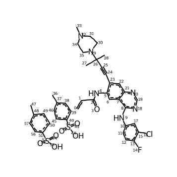 C=CC(=O)Nc1cc2c(Nc3ccc(F)c(Cl)c3)ncnc2cc1C#CC(C)(C)N1CCN(C)CC1.Cc1ccc(S(=O)(=O)O)cc1.Cc1ccc(S(=O)(=O)O)cc1